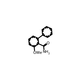 COc1cccc(-c2ccccc2)c1C(N)=O